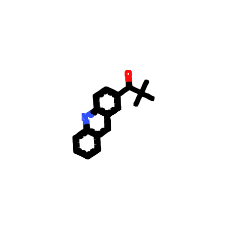 CC(C)(C)C(=O)c1ccc2nc3ccccc3cc2c1